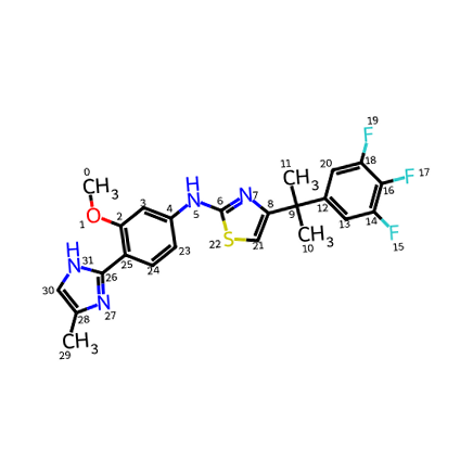 COc1cc(Nc2nc(C(C)(C)c3cc(F)c(F)c(F)c3)cs2)ccc1-c1nc(C)c[nH]1